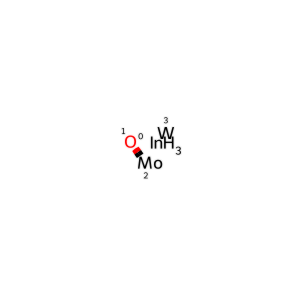 [InH3].[O]=[Mo].[W]